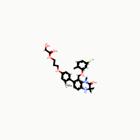 COc1cc(OCCCOC(=O)CO)ccc1-c1ccc2c(c1COc1cc(F)ccc1C)N(C)C(=O)C(C)(C)N2